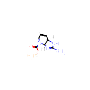 NC1=N[C@@H]2[C@@H](C=CCN2C(=O)OP)N1